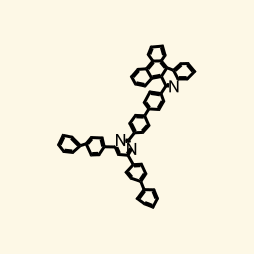 c1ccc(-c2ccc(-c3cc(-c4ccc(-c5ccccc5)cc4)nc(-c4ccc(-c5ccc(-c6nc7ccccc7c7c8ccccc8c8ccccc8c67)cc5)cc4)n3)cc2)cc1